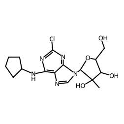 CC1(O)C(O)C(CO)OC1n1cnc2c(NC3CCCC3)nc(Cl)nc21